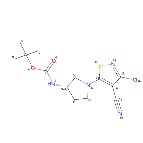 CC(C)(C)OC(=O)N[C@H]1CCN(c2snc(Cl)c2C#N)C1